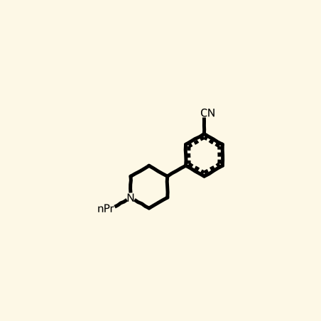 CCCN1CCC(c2cccc(C#N)c2)CC1